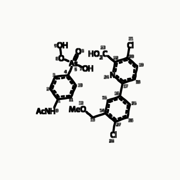 CC(=O)Nc1ccc([As](=O)(O)OO)cc1.COCc1cc(-c2ccc(Cl)c(C(=O)O)n2)ccc1Cl